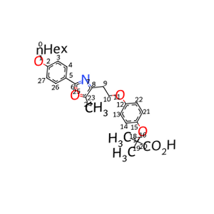 CCCCCCOc1ccc(-c2nc(CCOc3ccc(OC(C)(C)C(=O)O)cc3)c(C)o2)cc1